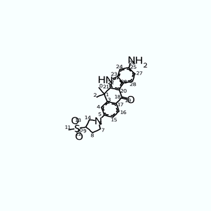 CC1(C)c2cc(N3CCC(S(C)(=O)=O)C3)ccc2C(=O)c2c1[nH]c1cc(N)ccc21